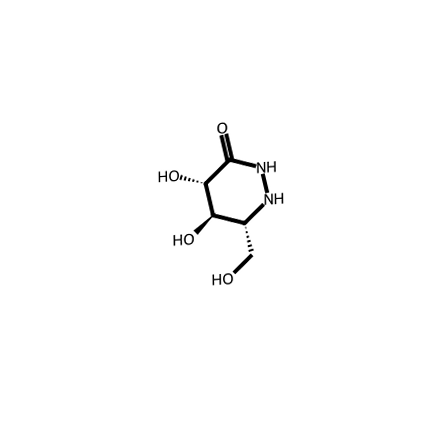 O=C1NN[C@H](CO)[C@@H](O)[C@@H]1O